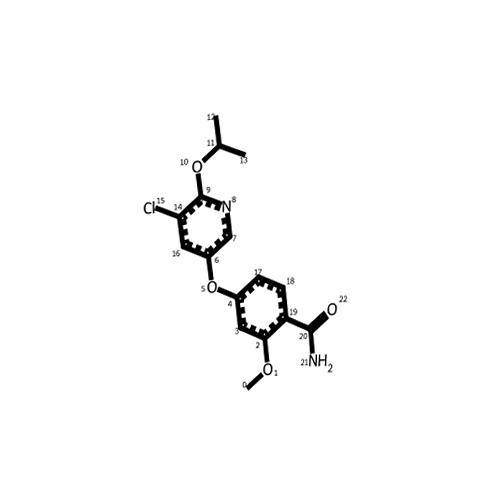 COc1cc(Oc2cnc(OC(C)C)c(Cl)c2)ccc1C(N)=O